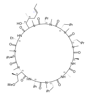 C/C=C/C[C@@H](C)[C@@H](O)C1C(=O)N[C@@H](CC)C(=O)N(C)[C@H](C(C)C)C(=O)N(C)[C@@H]([C@H](C)COC)C(=O)N[C@@H](C(C)C)C(=O)N(C)[C@@H](CC(C)C)C(=O)N[C@@H](C)C(=O)N[C@H](C)C(=O)N(C)[C@@H](CC(C)C)C(=O)N(C)[C@@H](CC(C)C)C(=O)N(C)[C@@H](C(C)C)C(=O)N1C